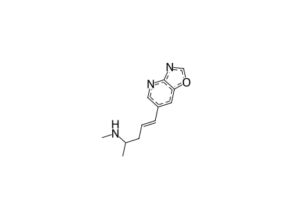 CNC(C)CC=Cc1cnc2ncoc2c1